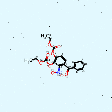 CCOC(=O)Oc1ccc(C(=O)c2ccccc2)c([N+](=O)[O-])c1OC(=O)OCC